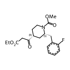 CCOC(=O)CC(=O)[C@@H]1CCN(C(=O)OC)[C@H](Cc2ccccc2F)C1